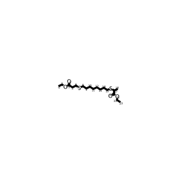 CCOC(=O)CCSCCCCCCCCSC(C)C(=O)OCC